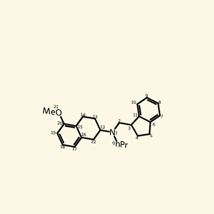 CCCN(CC1CCc2ccccc21)C1CCc2c(cccc2OC)C1